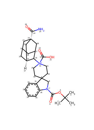 CC(C)(C)OC(=O)N1CC2(CC[N+](C(=O)O)(C3C4CC5C[C@H]3C[C@@](C(N)=O)(C5)C4)CC2)c2ccccc21